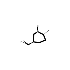 C[C@@H]1CC[C@@H](CO)CN1Cl